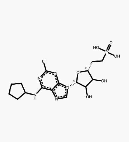 O=P(O)(O)CC[C@H]1O[C@@H](n2cnc3c(NC4CCCC4)nc(Cl)nc32)C(O)C1O